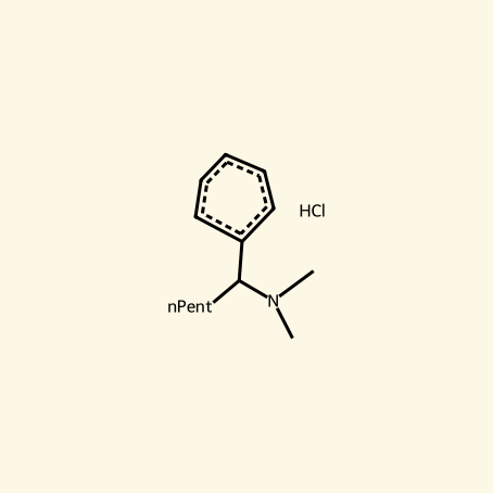 CCCCCC(c1ccccc1)N(C)C.Cl